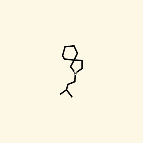 CC(C)CCN1CCC2(CCCCC2)C1